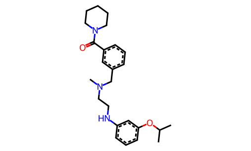 CC(C)Oc1cccc(NCCN(C)Cc2cccc(C(=O)N3CCCCC3)c2)c1